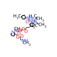 CNCC(=O)OCc1cccnc1N(C)C(=O)OCOC(=O)CCc1ccc(N(CC(C)C)CC(C)C)c(NC(=O)Nc2ccc(C)cc2)c1